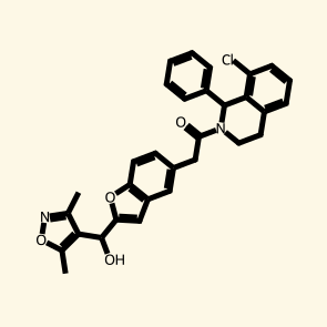 Cc1noc(C)c1C(O)c1cc2cc(CC(=O)N3CCc4cccc(Cl)c4C3c3ccccc3)ccc2o1